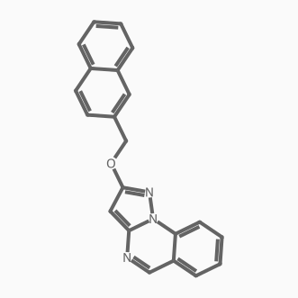 c1ccc2cc(COc3cc4ncc5ccccc5n4n3)ccc2c1